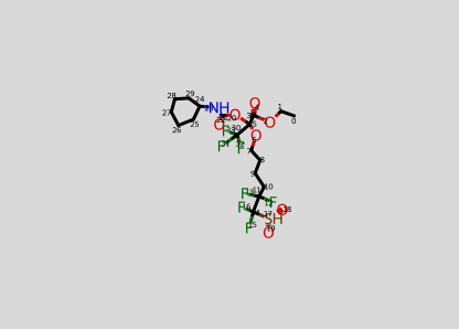 CCOC(=O)C(OCCCCC(F)(F)C(F)(F)[SH](=O)=O)(OC(=O)NC1CCCCC1)C(F)(F)F